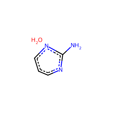 Nc1ncccn1.O